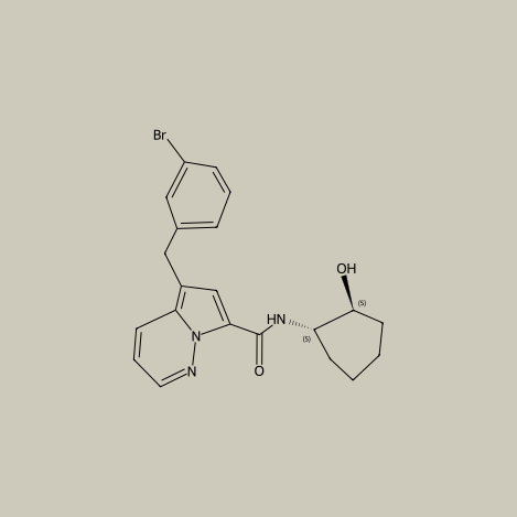 O=C(N[C@H]1CCCC[C@@H]1O)c1cc(Cc2cccc(Br)c2)c2cccnn12